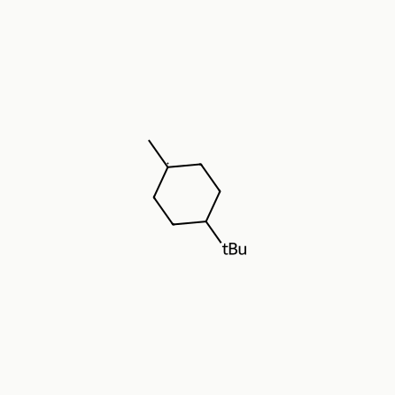 C[C]1CCC(C(C)(C)C)CC1